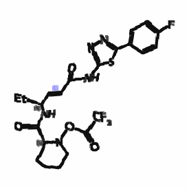 CC[C@@H](/C=C/C(=O)Nc1nnc(-c2ccc(F)cc2)s1)NC(=O)[C@@H]1CCCCN1OC(=O)C(F)(F)F